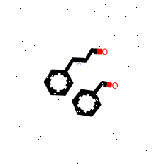 O=C/C=C/c1ccccc1.O=Cc1ccccc1